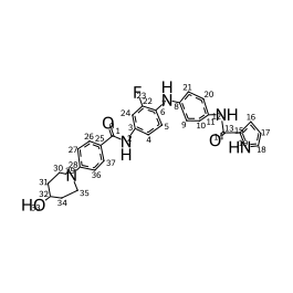 O=C(Nc1ccc(Nc2ccc(NC(=O)c3ccc[nH]3)cc2)c(F)c1)c1ccc(N2CCC(O)CC2)cc1